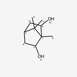 CC1(C)C2CC(O)C1(C)C(O)C2